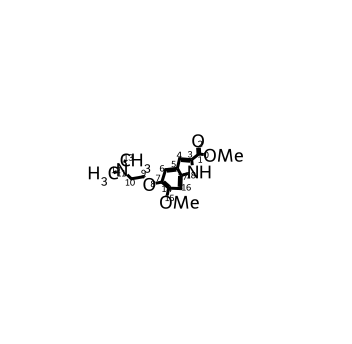 COC(=O)c1cc2cc(OCCN(C)C)c(OC)cc2[nH]1